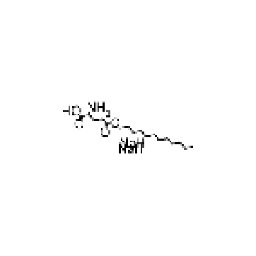 CCCCCCCCCCCCOC(=O)CC[C@H](N)C(=O)O.[NaH].[NaH]